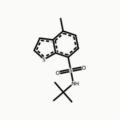 Cc1ccc(S(=O)(=O)NC(C)(C)C)c2sccc12